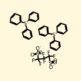 O=S(=O)([O-])C(F)(F)C(F)(F)C(F)(F)S(=O)(=O)[O-].c1ccc([S+](c2ccccc2)c2ccccc2)cc1.c1ccc([S+](c2ccccc2)c2ccccc2)cc1